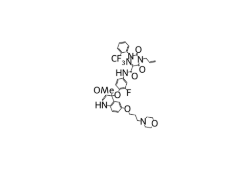 C=CCn1c(=O)c(C(=O)Nc2ccc(OC3(OC)C=CNc4ccc(OCCCN5CCOCC5)cc43)c(F)c2)nn(-c2ccccc2C(F)(F)F)c1=O